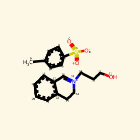 Cc1ccc(S(=O)(=O)[O-])cc1.OCCC[N+]1=Cc2ccccc2CC1